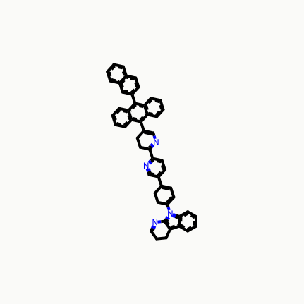 C1=Nc2c(c3ccccc3n2C2=CC=C(c3ccc(C4=NC=C(c5c6ccccc6c(-c6ccc7ccccc7c6)c6ccccc56)CC4)nc3)CC2)CC1